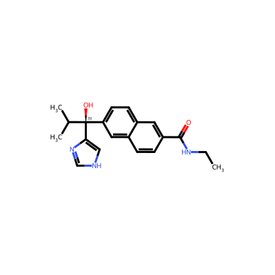 CCNC(=O)c1ccc2cc([C@](O)(c3c[nH]cn3)C(C)C)ccc2c1